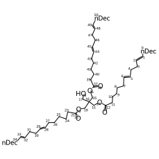 CCCCCCCCCCC=CCCC=CCCCCCC(=O)OCC(CO)(COC(=O)CCCCCC=CCCC=CCCCCCCCCCC)COC(=O)CCCCCC=CCCC=CCCCCCCCCCC